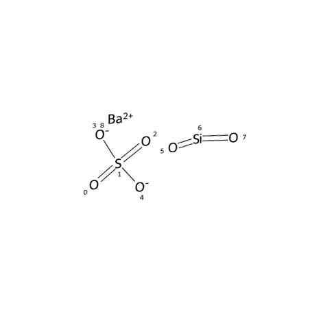 O=S(=O)([O-])[O-].O=[Si]=O.[Ba+2]